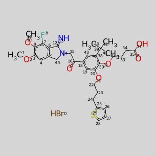 Br.COc1cc2c(c(F)c1OC)C(=N)N(CC(=O)c1cc(OCCCc3cccs3)c(OCCCC(=O)O)c(C(C)(C)C)c1)C2